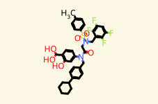 Cc1ccc(S(=O)(=O)N(CC(=O)N(Cc2ccc(C3CCCCC3)cc2)c2ccc(C(O)O)c(O)c2)Cc2c(F)c(F)cc(F)c2F)cc1